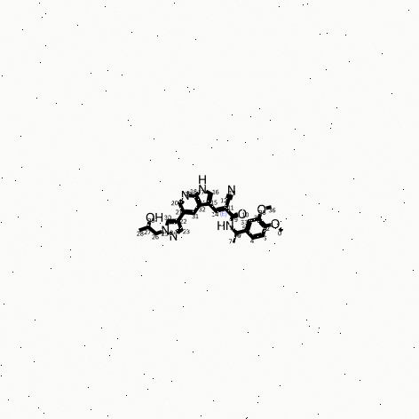 COc1ccc([C@@H](C)NC(=O)/C(C#N)=C/c2c[nH]c3ncc(-c4cnn(CC(C)O)c4)cc23)cc1OC